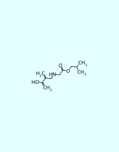 C=C(O)C(=C)CNCC(=O)OCC(C)C